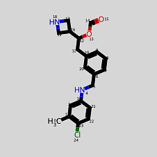 Cc1cc(NCc2cccc(CC(OC=O)C3CNC3)c2)ccc1Cl